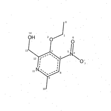 CCOc1c([N+](=O)[O-])cc(C)nc1CO